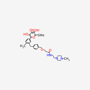 CS[C@H]1O[C@@H](c2ccc(C)c(Cc3ccc(COCCC(=O)NCCN4CCN(C)CC4)cc3)c2)[C@H](O)[C@@H](O)[C@@H]1O